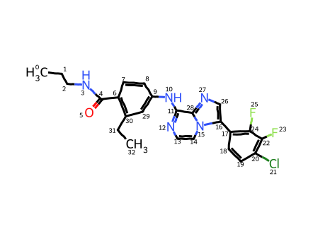 CCCNC(=O)c1ccc(Nc2nccn3c(-c4ccc(Cl)c(F)c4F)cnc23)cc1CC